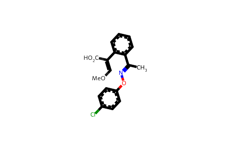 COC=C(C(=O)O)c1ccccc1C(C)=NOc1ccc(Cl)cc1